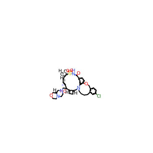 C[C@@H]1[C@@H](C)C/C=C/[C@](O)(CN2CCN3CCOC[C@@H]3C2)[C@@H]2CC[C@H]2CN2CCCCc3cc(Cl)ccc3COc3ccc(cc32)C(=O)NS1(=O)=O